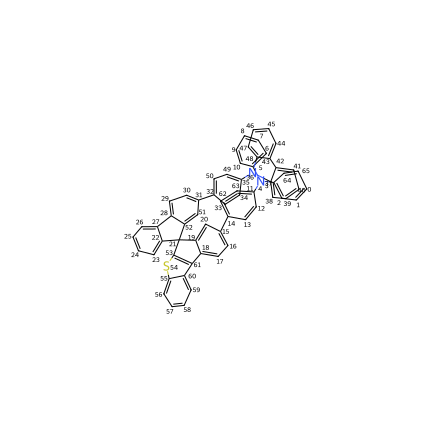 c1ccc(N(c2ccccc2)c2ccc(-c3ccc4c(c3)C3(c5ccccc5-c5ccc(-c6ccc(-n7c8ccccc8c8ccccc87)cc6)cc53)c3sc5ccccc5c3-4)cc2)cc1